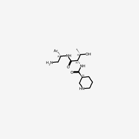 CC(=O)[C@@H](CN)NC(=O)[C@@H](NC(=O)[C@H]1CCCNC1)[C@H](C)O